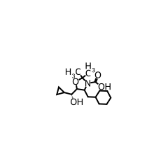 CC1(C)OC([C@H](O)C2CC2)C(CC2CCCCC2)N1C(=O)O